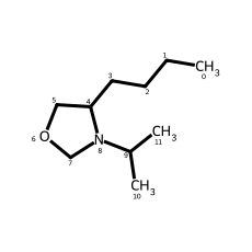 CCCCC1COCN1C(C)C